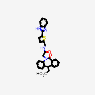 O=C(O)CC1c2ccccc2C(=O)N(CC(=O)NCc2ccc(-c3nc4ccccc4[nH]3)s2)c2ccccc21